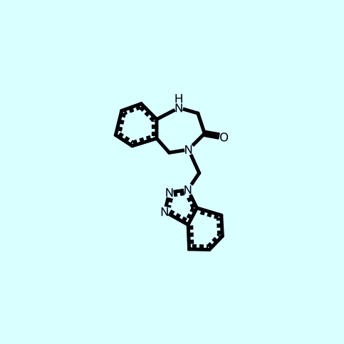 O=C1CNc2ccccc2CN1Cn1nnc2ccccc21